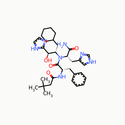 CC(C)(C)CC(=O)N[C@@H](Cc1ccccc1)C(=O)N([C@@H](Cc1c[nH]cn1)C(N)=O)[C@@H](CC1CCCCC1)[C@@H](O)c1ncc[nH]1